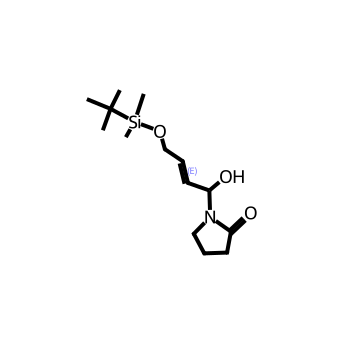 CC(C)(C)[Si](C)(C)OC/C=C/C(O)N1CCCC1=O